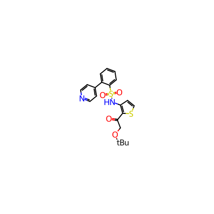 CC(C)(C)OCC(=O)c1sccc1NS(=O)(=O)c1ccccc1-c1ccncc1